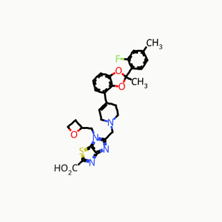 Cc1ccc(C2(C)Oc3cccc(C4=CCN(Cc5nc6nc(C(=O)O)sc6n5CC5CCO5)CC4)c3O2)c(F)c1